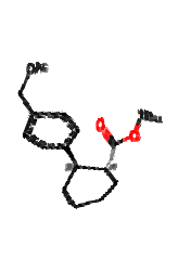 CC(=O)OCc1ccc([C@@H]2CCCC[C@H]2C(=O)OC(C)(C)C)cc1